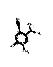 CC(C)c1cn(C)c(=O)cc1C#N